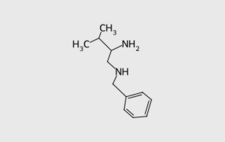 CC(C)C(N)CNCc1ccccc1